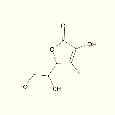 CC1=C(O)C(=O)OC1C(O)CO